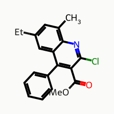 CCc1cc(C)c2nc(Cl)c(C(=O)OC)c(-c3ccccc3)c2c1